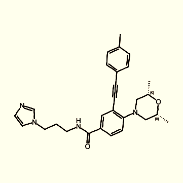 Cc1ccc(C#Cc2cc(C(=O)NCCCn3ccnc3)ccc2N2C[C@@H](C)O[C@@H](C)C2)cc1